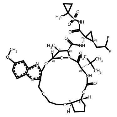 COc1ccc2nc3c(nc2c1)O[C@H]1CN(C(=O)[C@H](C(C)(C)C)NC(=O)O[C@@H]2CCC[C@H]2CCCCC3)[C@H](C(=O)N[C@]2(C(=O)NS(=O)(=O)C3(C)CC3)C[C@H]2CC(F)F)[C@@H]1C